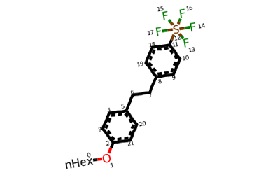 CCCCCCOc1ccc(CCc2ccc(S(F)(F)(F)(F)F)cc2)cc1